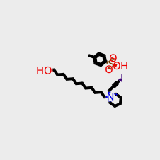 Cc1ccc(S(=O)(=O)O)cc1.OCCCCCCCCCCCC[N+]1(CC#CI)CCCCC1